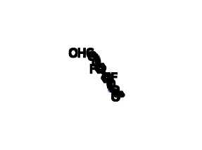 C=CC(=O)O/C=C\Oc1ccc(-c2ccc(O/C=C\OC=O)c(F)c2)cc1F